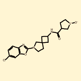 O=C(NC1CC2(CCN(c3nc4ccc(Cl)cc4o3)C2)C1)C1CC[S+]([O-])C1